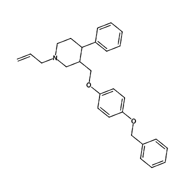 C=CCN1CCC(c2ccccc2)C(COc2ccc(OCc3ccccc3)cc2)C1